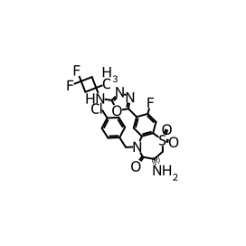 CC1(Nc2nnc(-c3cc4c(cc3F)S(=O)(=O)C[C@H](N)C(=O)N4Cc3ccc(Cl)cc3)o2)CC(F)(F)C1